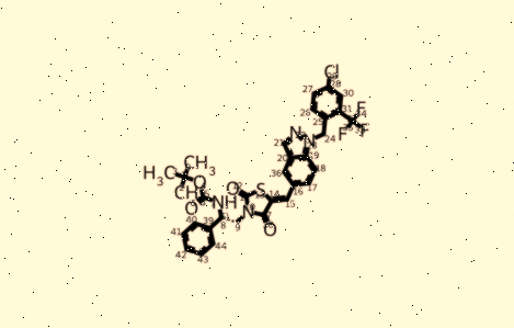 CC(C)(C)OC(=O)N[C@H](CN1C(=O)SC(=Cc2ccc3c(cnn3Cc3ccc(Cl)cc3C(F)(F)F)c2)C1=O)c1ccccc1